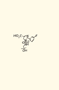 CC(C)(O)CNS(=O)(=O)N1CC(C(=O)O)=CN=C1c1cccc(F)c1